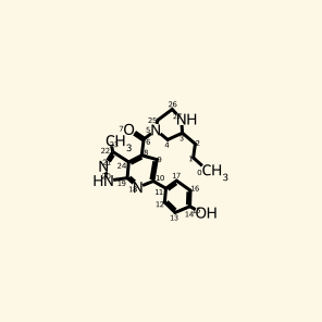 CCCC1CN(C(=O)c2cc(-c3ccc(O)cc3)nc3[nH]nc(C)c23)CCN1